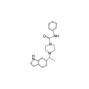 CC(c1ccc2cc[nH]c2c1)N1CCN(C(=O)Nc2ccccc2)CC1